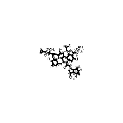 CC(C)(C#Cc1nc([C@H](Cc2cc(F)cc(F)c2)NC(=O)Cn2nc(C(F)(F)F)c3c2C(F)(F)[C@@H]2C[C@H]32)c(-c2ccc(Cl)c3c(NS(C)(=O)=O)nn(CC(F)F)c23)cc1I)S(=O)(=O)C1CC1